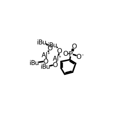 CCC(C)[O][Al+][O]C(C)CC.CCC(C)[O][Al+][O]C(C)CC.O=P([O-])([O-])c1ccccc1